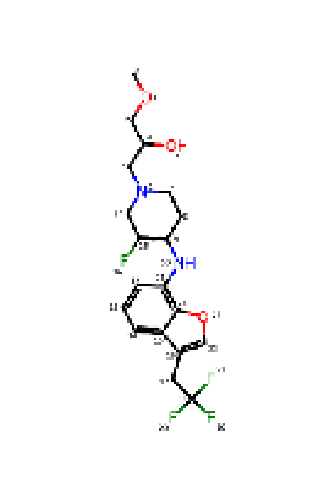 COCC(O)CN1CCC(Nc2cccc3c(CC(F)(F)F)coc23)C(F)C1